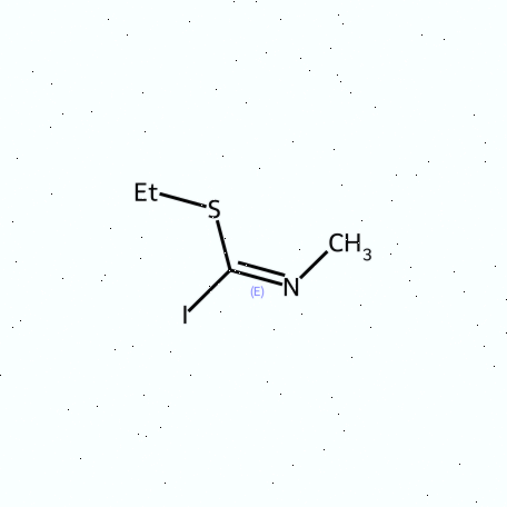 CCS/C(I)=N\C